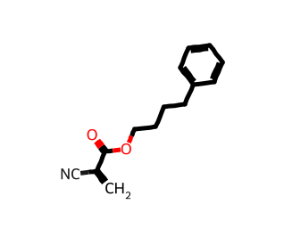 C=C(C#N)C(=O)OCCCCc1ccccc1